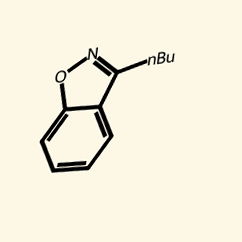 CCCCc1noc2ccccc12